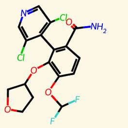 NC(=O)c1ccc(OC(F)F)c(OC2CCOC2)c1-c1c(Cl)cncc1Cl